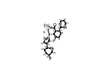 CCN(C(=O)c1cc(F)ccc1-c1ncccn1)[C@@H](C)Cn1cc(-c2ccc(F)cn2)cn1